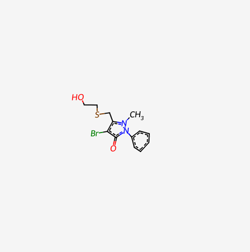 Cn1c(CSCCO)c(Br)c(=O)n1-c1ccccc1